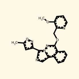 COc1cccnc1COc1nn2c(-c3cc(C)on3)ncc2c2ccccc12